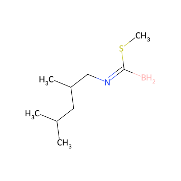 B/C(=N/CC(C)CC(C)C)SC